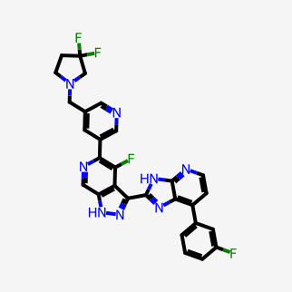 Fc1cccc(-c2ccnc3[nH]c(-c4n[nH]c5cnc(-c6cncc(CN7CCC(F)(F)C7)c6)c(F)c45)nc23)c1